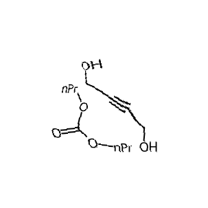 CCCOC(=O)OCCC.OCC#CCO